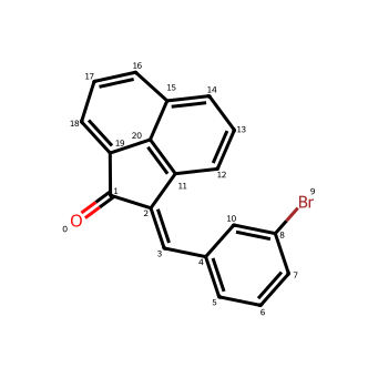 O=c1/c(=C/c2cccc(Br)c2)c2cccc3cccc1c32